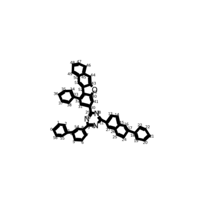 c1ccc(-c2cccc(-c3nc(-c4ccc5cc(-c6ccccc6)ccc5c4)nc(-c4cc(-c5ccccc5)c5c(c4)oc4cc6ccccc6cc45)n3)c2)cc1